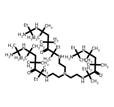 CCC(C)(N)NC(C)(C)CC(C)(C)C(=O)C(C)(CC)NCCN(CCNC(C)(CC)C(=O)C(C)(C)CC(C)(C)NC(C)(C)N)CCNC(C)(CC)C(=O)C(C)(C)CC(C)(C)NC(C)(N)CC